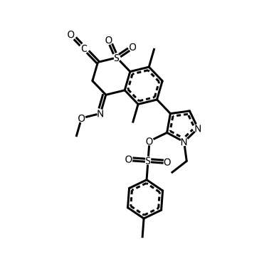 CCn1ncc(-c2cc(C)c3c(c2C)C(=NOC)CC(=C=O)S3(=O)=O)c1OS(=O)(=O)c1ccc(C)cc1